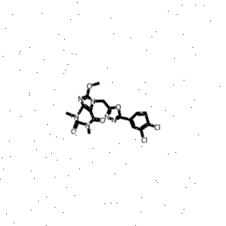 COc1nc2c(c(=O)n(C)c(=O)n2C)n1Cc1nnc(-c2ccc(Cl)c(Cl)c2)o1